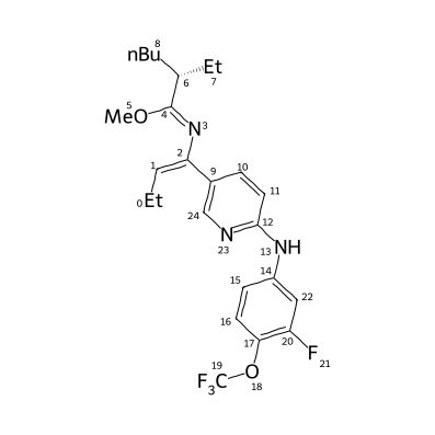 CC/C=C(/N=C(\OC)[C@@H](CC)CCCC)c1ccc(Nc2ccc(OC(F)(F)F)c(F)c2)nc1